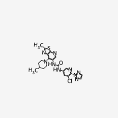 Cc1nc2c(N3CCC(C)CC3)c(NC(=O)Nc3cnc(-n4nccn4)c(Cl)c3)cnc2s1